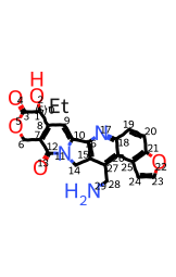 CC[C@@]1(O)C(=O)OCc2c1cc1n(c2=O)Cc2c-1nc1ccc3occc3c1c2CN